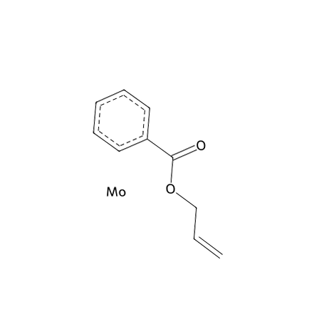 C=CCOC(=O)c1ccccc1.[Mo]